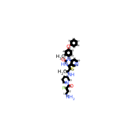 C=C(NC1CCCN(C(=O)/C(F)=C/CN)C1)c1sc2nccc3c2c1NC(=O)N3c1ccc(Oc2ccccc2)cc1C